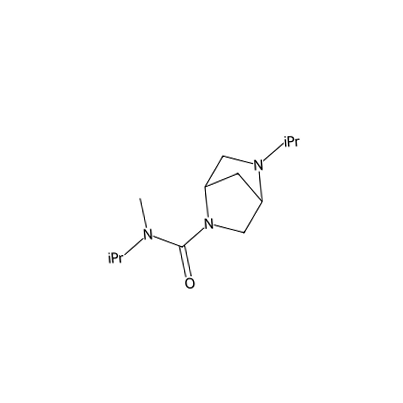 CC(C)N(C)C(=O)N1CC2CC1CN2C(C)C